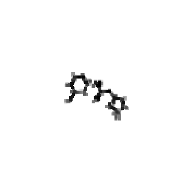 O=C(Cc1cc[nH]n1)Nc1cccc(F)c1